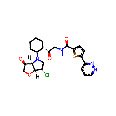 O=C(NCC(=O)[C@H]1CCCCC1N1C[C@H](Cl)[C@H]2OCC(=O)[C@H]21)c1ccc(-c2cccnn2)s1